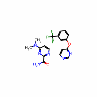 CN(C)c1ccnc(C(N)=O)n1.FC(F)(F)c1cccc(Oc2ccncn2)c1